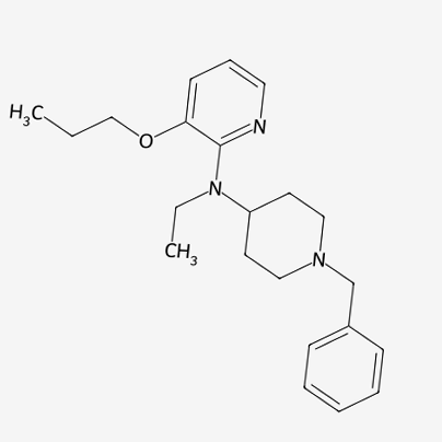 CCCOc1cccnc1N(CC)C1CCN(Cc2ccccc2)CC1